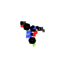 CCN1C[C@@H](c2ccc(OC)cc2)[C@H](NC(=O)Nc2ccc(F)cc2)C1=O